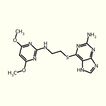 COc1cc(OC)nc(NCCSc2nc(N)nc3nc[nH]c23)n1